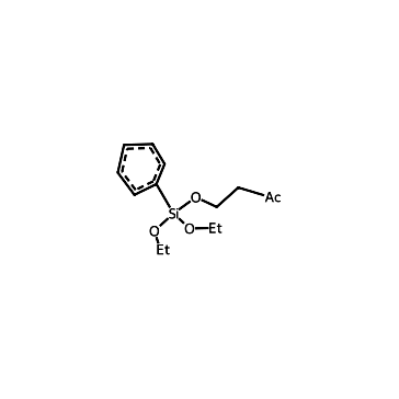 CCO[Si](OCC)(OCCC(C)=O)c1ccccc1